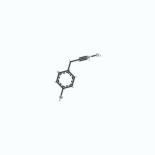 [O-][N+]#CCc1ccc(Br)cc1